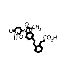 Cn1c(=O)n(C2CCC(=O)NC2=O)c2ccc(CCc3ccccc3CCC(=O)O)cc21